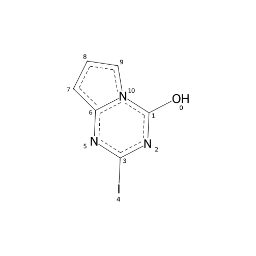 Oc1nc(I)nc2cccn12